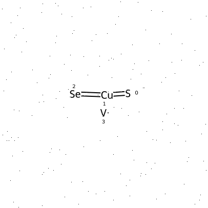 [S]=[Cu]=[Se].[V]